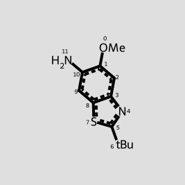 COc1cc2nc(C(C)(C)C)sc2cc1N